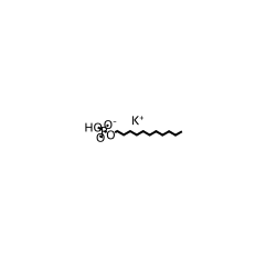 CCCCCCCCCCCOP(=O)([O-])O.[K+]